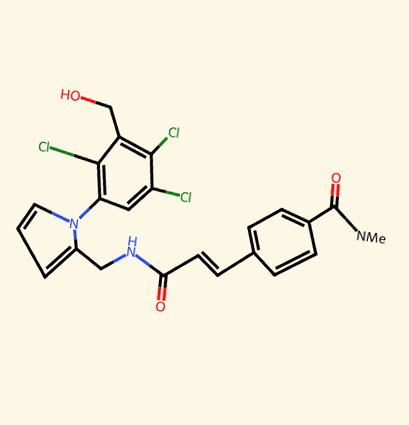 CNC(=O)c1ccc(/C=C/C(=O)NCc2cccn2-c2cc(Cl)c(Cl)c(CO)c2Cl)cc1